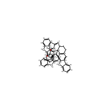 C/C(=N\C1=N/C2CCc3cc4c(cc3C2(c2ccc3oc5ccccc5c3c2)c2cccc3oc5cccc1c5c23)oc1ccccc14)c1ccccc1